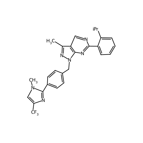 Cc1nn(Cc2ccc(-c3nc(C(F)(F)F)cn3C)cc2)c2nc(-c3ccccc3C(C)C)ncc12